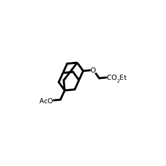 CCOC(=O)COC1C2CC3CC1CC(COC(C)=O)(C3)C2